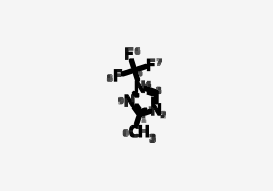 Cc1ncn(C(F)(F)F)n1